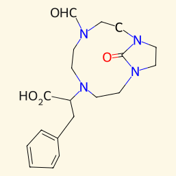 O=CN1CCN2CCN(CCN(C(Cc3ccccc3)C(=O)O)CC1)C2=O